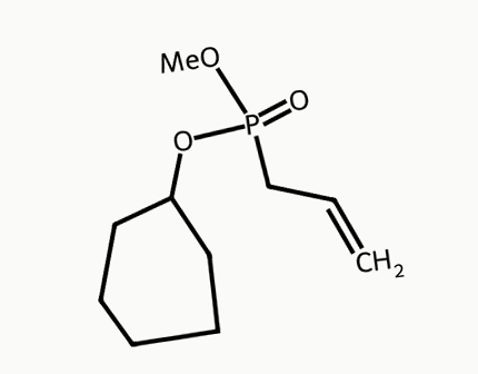 C=CCP(=O)(OC)OC1CCCCC1